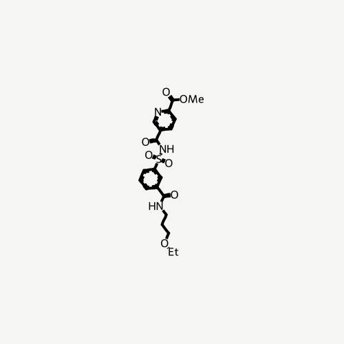 CCOCCCNC(=O)c1cccc(S(=O)(=O)NC(=O)c2ccc(C(=O)OC)nc2)c1